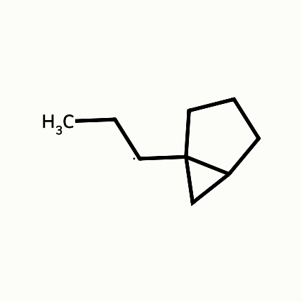 CC[CH]C12CCCC1C2